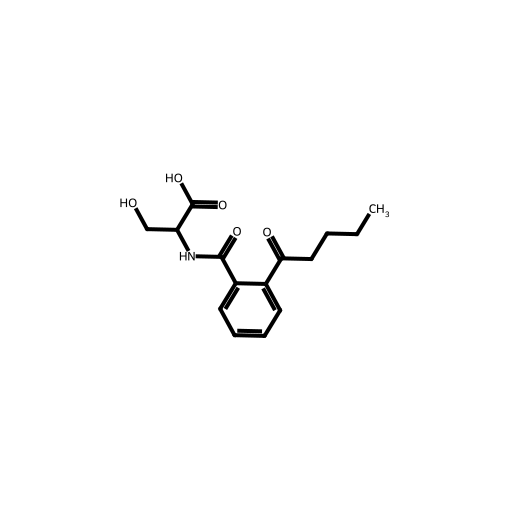 CCCCC(=O)c1ccccc1C(=O)NC(CO)C(=O)O